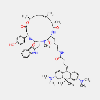 CC1=CCC[C@H](C)OC(=O)C[C@H](c2ccc(O)cc2)NC(=O)[C@@H](Cc2cc3ccccc3[nH]2)N(C)C(=O)[C@H](CCCCNC(=O)CCC=C2c3ccc(N(C)C)cc3[Si](C)(C)c3cc(N(C)C)ccc32)NC(=O)[C@@H](C)C1